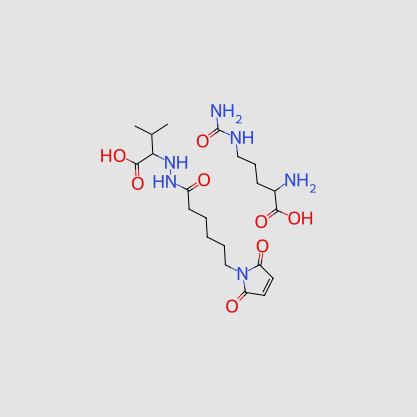 CC(C)C(NNC(=O)CCCCCN1C(=O)C=CC1=O)C(=O)O.NC(=O)NCCCC(N)C(=O)O